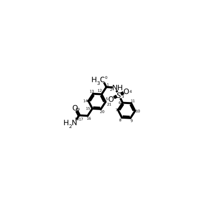 CC(NS(=O)(=O)c1ccccc1)c1ccc(CC(N)=O)cc1